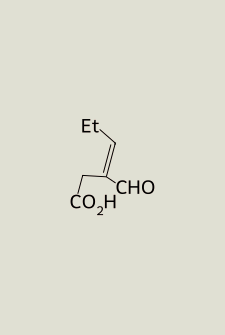 CCC=C(C=O)CC(=O)O